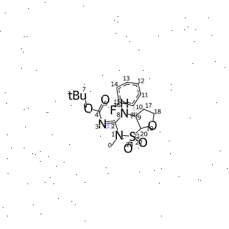 CN1/C(=N/C(=O)OC(C)(C)C)N[C@@]2(c3ccccc3F)CCOC2S1(=O)=O